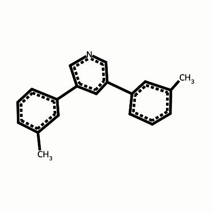 Cc1cccc(-c2cncc(-c3cccc(C)c3)c2)c1